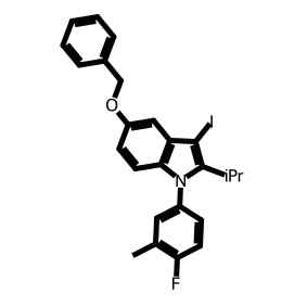 Cc1cc(-n2c(C(C)C)c(I)c3cc(OCc4ccccc4)ccc32)ccc1F